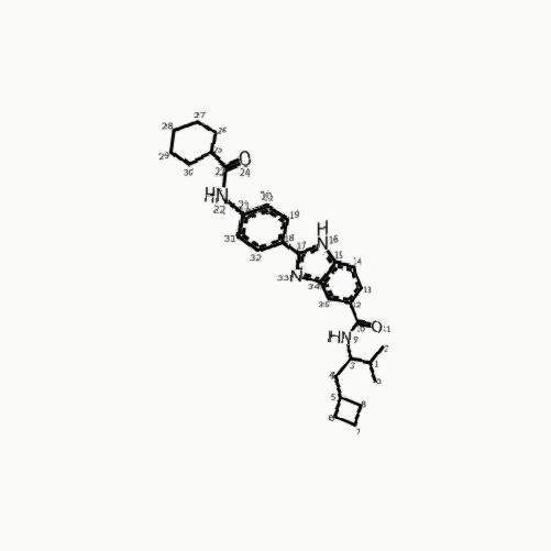 CC(C)C(CC1CCC1)NC(=O)c1ccc2[nH]c(-c3ccc(NC(=O)C4CCCCC4)cc3)nc2c1